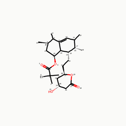 CCC(C)(C)C(=O)O[C@H]1C[C@@H](C)C(C)C2=CC(C)[C@H](C)[C@H](CC[C@@H]3C[C@@H](O)CC(=O)O3)C21